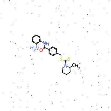 CC1CCCCN1C(=S)SCc1ccc(C(=O)Nc2ccccc2N)cc1